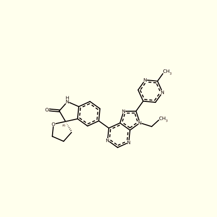 CCn1c(-c2cnc(C)nc2)nc2c(-c3ccc4c(c3)[C@]3(CCCO3)C(=O)N4)ncnc21